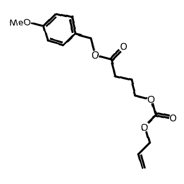 C=CCOC(=O)OCCCC(=O)OCc1ccc(OC)cc1